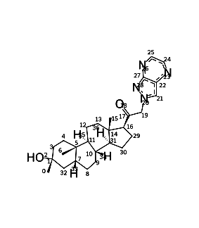 C[C@@]1(O)CC[C@@]2(C)[C@H](CC[C@@H]3[C@@H]2CC[C@]2(C)[C@@H](C(=O)Cn4cc5nccnc5n4)CC[C@@H]32)C1